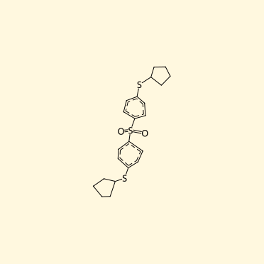 O=S(=O)(c1ccc(SC2CCCC2)cc1)c1ccc(SC2CCCC2)cc1